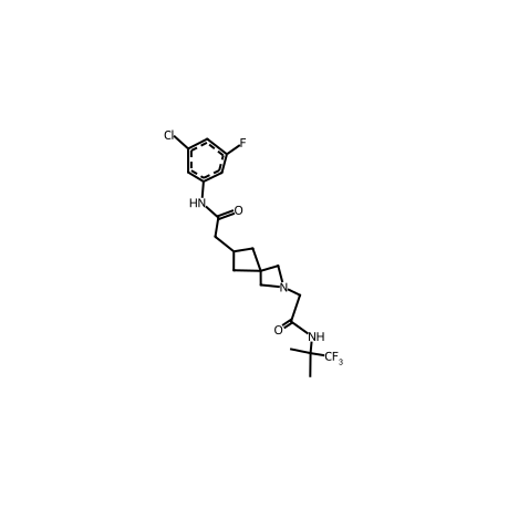 CC(C)(NC(=O)CN1CC2(CC(CC(=O)Nc3cc(F)cc(Cl)c3)C2)C1)C(F)(F)F